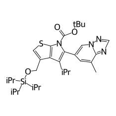 Cc1cc(-c2c(C(C)C)c3c(CO[Si](C(C)C)(C(C)C)C(C)C)csc3n2C(=O)OC(C)(C)C)cn2ncnc12